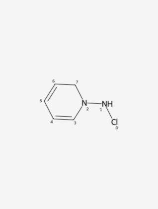 ClNN1C=CC=CC1